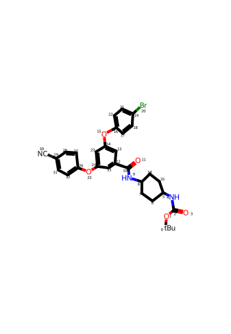 CC(C)(C)OC(=O)NC1CCC(NC(=O)c2cc(Oc3ccc(Br)cc3)cc(Oc3ccc(C#N)cc3)c2)CC1